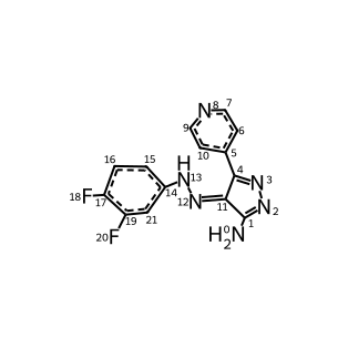 NC1=NN=C(c2ccncc2)/C1=N\Nc1ccc(F)c(F)c1